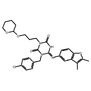 Cc1oc2ccc(/N=c3\[nH]c(=O)n(CCCOC4CCCCO4)c(=O)n3Cc3ccc(Cl)cc3)cc2c1C